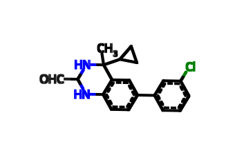 CC1(C2CC2)NC(C=O)Nc2ccc(-c3cccc(Cl)c3)cc21